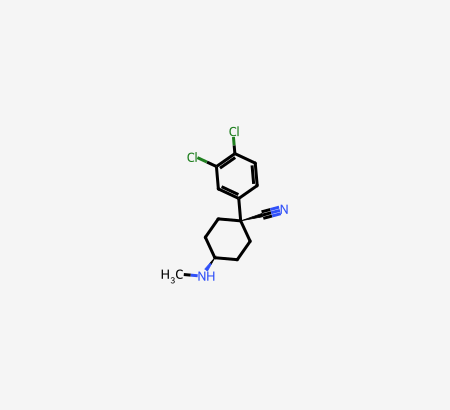 CN[C@H]1CC[C@](C#N)(c2ccc(Cl)c(Cl)c2)CC1